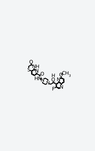 COc1ccc2ncc(F)c([C@@H](O)CN3CCN(NC(=O)c4ccc5c(n4)NC(=O)CS5)CC3)c2n1